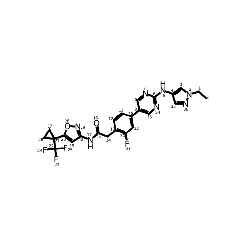 CCn1cc(Nc2ncc(-c3ccc(CC(=O)Nc4cc(C5(C(F)(F)F)CC5)on4)c(F)c3)cn2)cn1